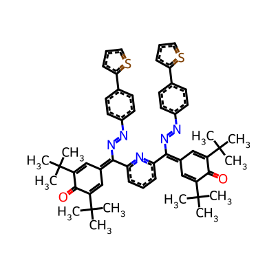 CC(C)(C)C1=CC(=C(/N=N/c2ccc(-c3cccs3)cc2)c2cccc(C(/N=N/c3ccc(-c4cccs4)cc3)=C3C=C(C(C)(C)C)C(=O)C(C(C)(C)C)=C3)n2)C=C(C(C)(C)C)C1=O